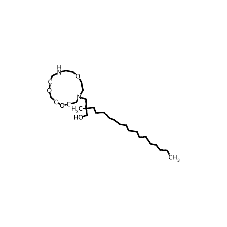 CCCCCCCCCCCCCCCCC(C)(CO)CN1CCOCCNCCOCCOCC1